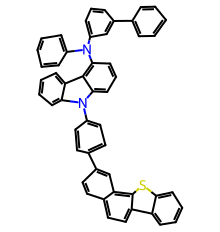 c1ccc(-c2cccc(N(c3ccccc3)c3cccc4c3c3ccccc3n4-c3ccc(-c4ccc5ccc6c7ccccc7sc6c5c4)cc3)c2)cc1